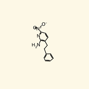 Nc1nc([N+](=O)[O-])ccc1CCc1ccccc1